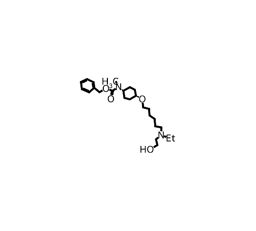 CCN(CCO)CCCCCCO[C@H]1CC[C@H](N(C)C(=O)OCc2ccccc2)CC1